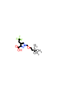 C[Si](C)(C)CCOCn1cc(CC(F)(F)F)c(C(=O)O)n1